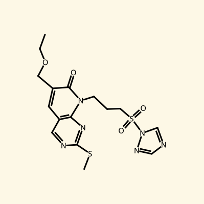 CCOCc1cc2cnc(SC)nc2n(CCCS(=O)(=O)n2cncn2)c1=O